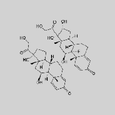 C[C@]12C=CC(=O)C=C1CC[C@@H]1[C@@H]2[C@@H](O)C[C@@]2(C)[C@H]1CC[C@]2(O)C(=O)CO.C[C@]12C=CC(=O)C=C1CC[C@H]1[C@@H]3C[C@@H](O)[C@](O)(C(=O)CO)[C@@]3(C)C[C@H](O)[C@@]12F